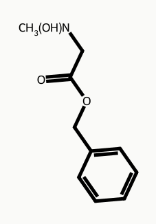 CN(O)CC(=O)OCc1ccccc1